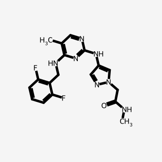 CNC(=O)Cn1cc(Nc2ncc(C)c(NCc3c(F)cccc3F)n2)cn1